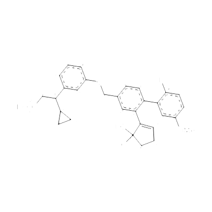 COc1ccc(F)c(-c2ccc(COc3cccc(C(CC(=O)O)C4CC4)c3)cc2C2=CCCC2(C)C)c1